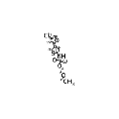 CCOCCOC(=O)C(=O)Nc1nc(-c2cc(Cl)no2)cs1